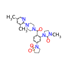 Cc1cnc(N2CCN(C(=O)c3ccc(N4CCCS4(=O)=O)cc3N3CCN(C)C3=O)CC2)c(C)c1